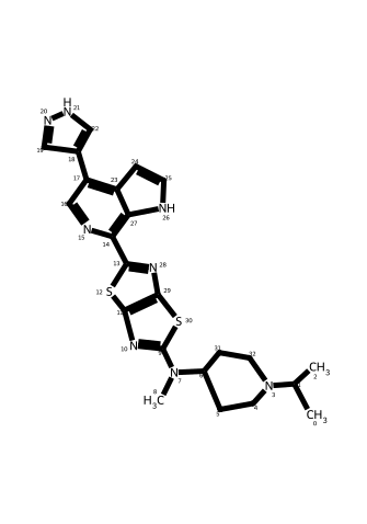 CC(C)N1CCC(N(C)c2nc3sc(-c4ncc(-c5cn[nH]c5)c5cc[nH]c45)nc3s2)CC1